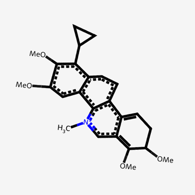 COC1=c2c[n+](C)c3c(ccc4c(C5CC5)c(OC)c(OC)cc43)c2=CCC1OC